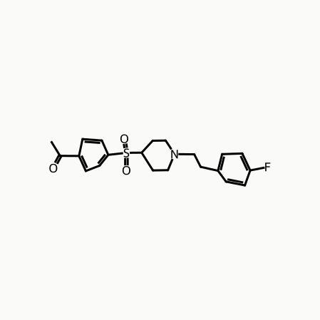 CC(=O)c1ccc(S(=O)(=O)C2CCN(CCc3ccc(F)cc3)CC2)cc1